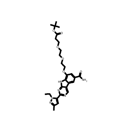 CCn1nc(C)cc1-c1ncc2c(n1)[nH]c1c(OCCOCCOCCC(=O)OC(C)(C)C)cc(C(N)=O)cc12